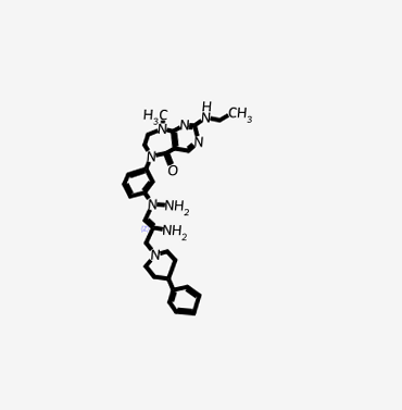 CCNc1ncc2c(n1)N(C)CCN(c1cccc(N(N)/C=C(\N)CN3CCC(c4ccccc4)CC3)c1)C2=O